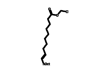 CCCCCCCCC=CCCCCCCCC(=O)OCCl